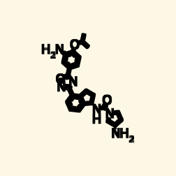 CC(C)Oc1ccc(-c2nc(-c3cccc4c3CC[C@@H]4NC(=O)N3CC[C@H](N)C3)no2)cc1N